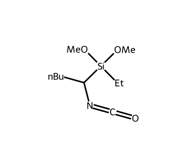 CCCCC(N=C=O)[Si](CC)(OC)OC